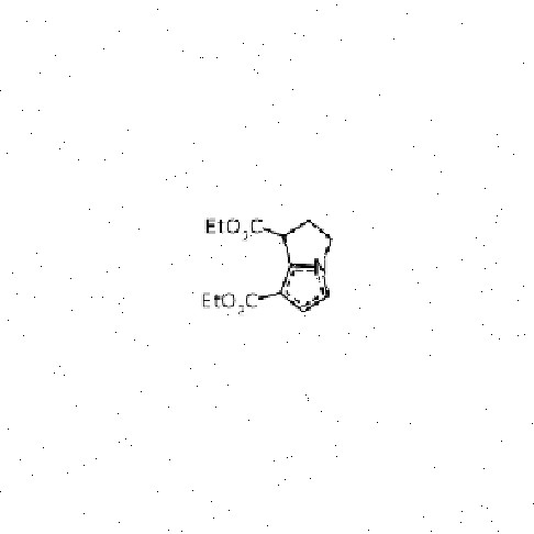 CCOC(=O)c1ccn2c1C(C(=O)OCC)CC2